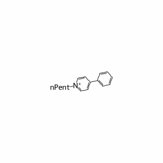 CCCCC[n+]1ccc(-c2ccccc2)cc1